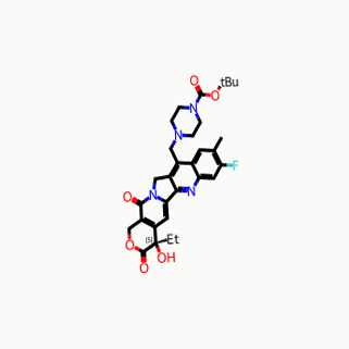 CC[C@@]1(O)C(=O)OCc2c1cc1n(c2=O)Cc2c-1nc1cc(F)c(C)cc1c2CN1CCN(C(=O)OC(C)(C)C)CC1